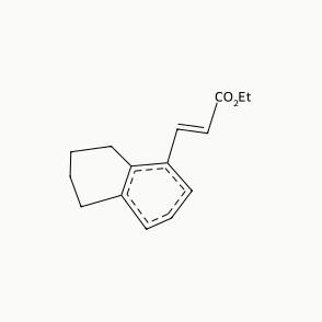 CCOC(=O)C=Cc1cccc2c1CCCC2